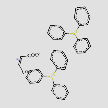 O=C([O-])/C=C\C(=O)[O-].c1ccc([S+](c2ccccc2)c2ccccc2)cc1.c1ccc([S+](c2ccccc2)c2ccccc2)cc1